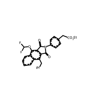 CCOC(=O)Cc1ccc(N2C(=O)c3c(c(OC(F)F)c4ccccc4c3CC(C)C)C2=O)cc1